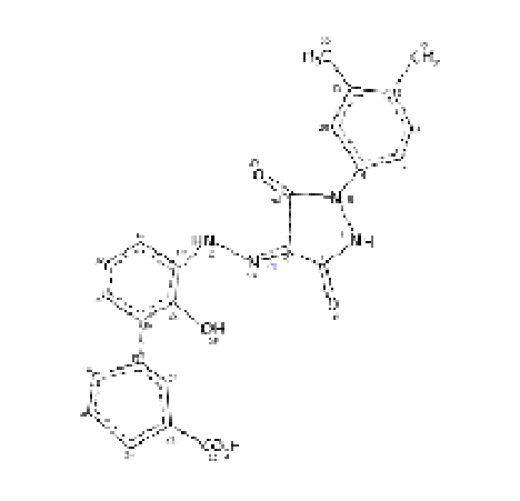 Cc1ccc(N2NC(=O)/C(=N/Nc3cccc(-c4cccc(C(=O)O)c4)c3O)C2=O)cc1C